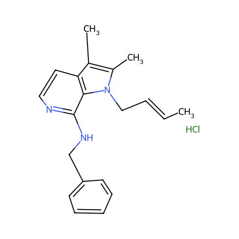 C/C=C/Cn1c(C)c(C)c2ccnc(NCc3ccccc3)c21.Cl